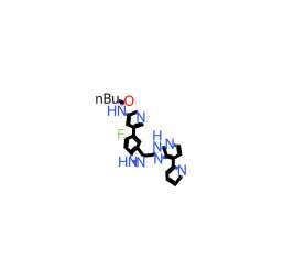 CCCCC(=O)Nc1cncc(-c2cc3c(-c4nc5c(-c6ccccn6)ccnc5[nH]4)n[nH]c3cc2F)c1